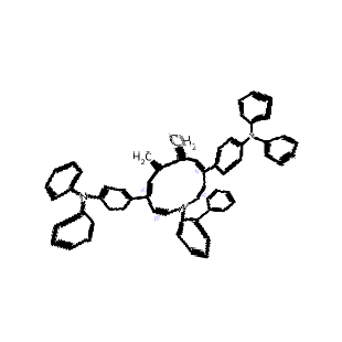 C=C1/C=C(C2=CC=C(N(c3ccccc3)c3ccccc3)CC2)\C=C/N(c2ccccc2-c2ccccc2)/C=C\C(c2ccc(N(c3ccccc3)c3ccccc3)cc2)=C/C1=C